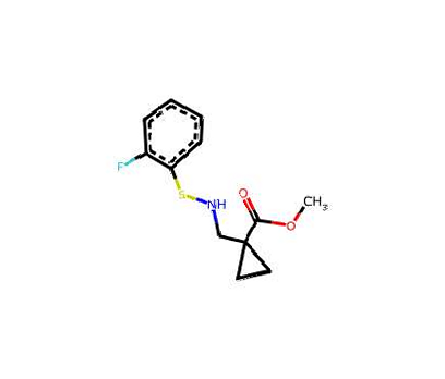 COC(=O)C1(CNSc2ccccc2F)CC1